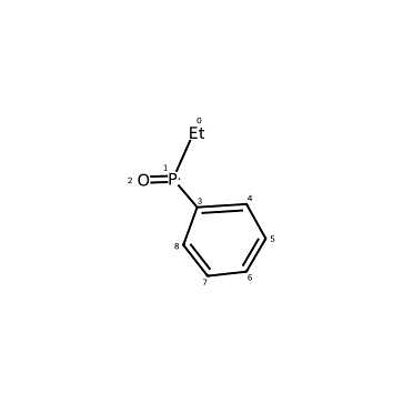 CC[P](=O)c1ccccc1